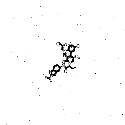 CCC(C(=O)Nc1ccc2nn(C(F)F)cc2c1)n1cc(OC)c(-c2cc(Cl)ccc2N(N)/C=C(\N)Cl)cc1=O